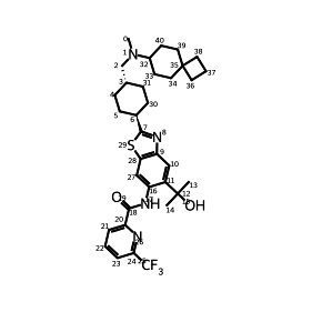 CN(C[C@H]1CC[C@H](c2nc3cc(C(C)(C)O)c(NC(=O)c4cccc(C(F)(F)F)n4)cc3s2)CC1)C1CCC2(CCC2)CC1